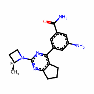 C[C@H]1CCN1c1nc2c(c(-c3cc(N)cc(C(N)=O)c3)n1)CCC2